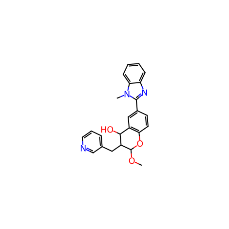 COC1Oc2ccc(-c3nc4ccccc4n3C)cc2C(O)C1Cc1cccnc1